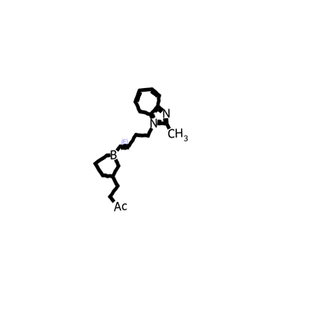 CC(=O)CCC1CCCB(/C=C/CCn2c(C)nc3c2CC=CC=C3)C1